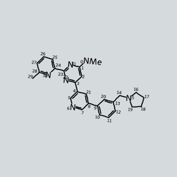 CNc1cc(-c2cncc(-c3cccc(CN4CCCC4)c3)c2)nc(-c2cccc(C)n2)n1